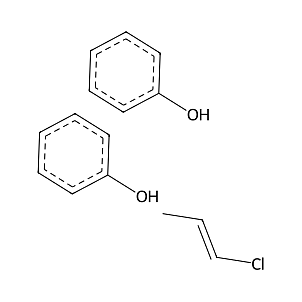 CC=CCl.Oc1ccccc1.Oc1ccccc1